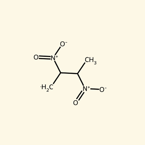 [CH2]C(C(C)[N+](=O)[O-])[N+](=O)[O-]